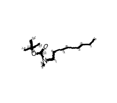 [CH2]CCCCCCCN(C)C(=O)OC(C)(C)C